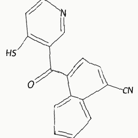 N#Cc1ccc(C(=O)c2cnccc2S)c2ccccc12